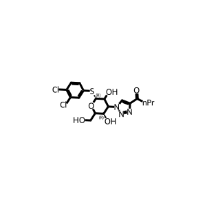 CCCC(=O)c1cn(C2C(O)[C@@H](Sc3ccc(Cl)c(Cl)c3)OC(CO)[C@@H]2O)nn1